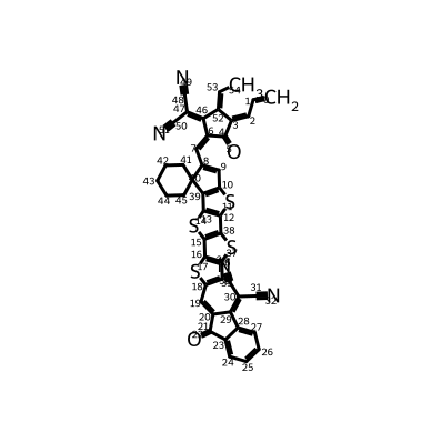 C=C/C=C1/C(=O)/C(=C\C2=Cc3sc4c(sc5c6sc(/C=C7/C(=O)c8ccccc8C7=C(C#N)C#N)cc6sc45)c3C23CCCCC3)C(=C(C#N)C#N)/C1=C/C